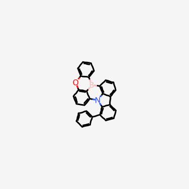 c1ccc(-c2cccc3c4cccc5c4n(c23)-c2cccc3c2B5c2ccccc2O3)cc1